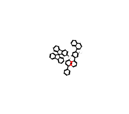 c1ccc(-c2ccc(N(c3ccc4c(c3)C3(c5ccccc5-c5ccccc53)c3ccccc3-4)c3cc4c(cc3-c3ccccc3)oc3ccc5ccccc5c34)cc2)cc1